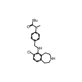 CN(C(=O)C(C)(C)C)c1ccc(CNc2c(Cl)ccc3c2CCNCC3)cc1